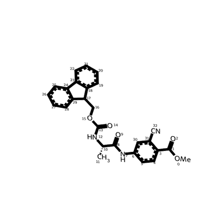 COC(=O)c1ccc(NC(=O)[C@H](C)NC(=O)OCC2c3ccccc3-c3ccccc32)cc1C#N